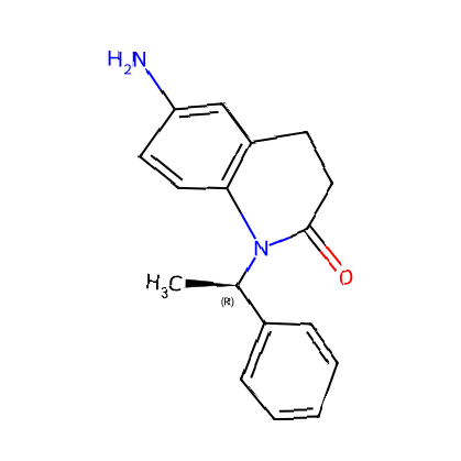 C[C@H](c1ccccc1)N1C(=O)CCc2cc(N)ccc21